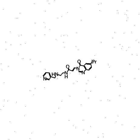 CC(C)c1ccc2ncn(C=CC(=O)NCCNCc3cccnc3)c(=O)c2c1